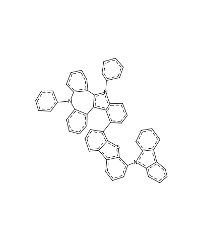 c1ccc(N2c3ccccc3-c3c(n(-c4ccccc4)c4cccc(-c5cccc6c5sc5c(-n7c8ccccc8c8ccccc87)cccc56)c34)-c3ccccc32)cc1